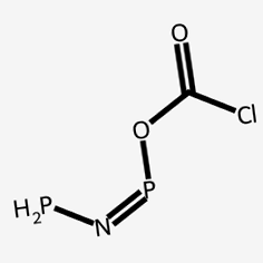 O=C(Cl)O/P=N\P